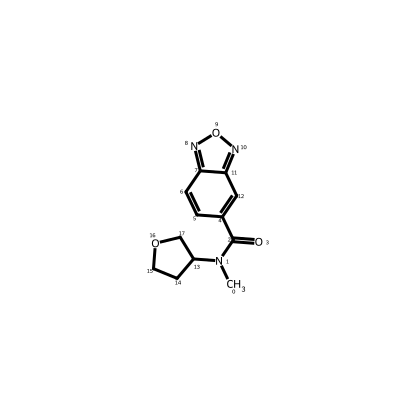 CN(C(=O)c1ccc2nonc2c1)C1CCOC1